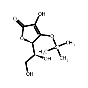 C[Si](C)(C)OC1=C(O)C(=O)O[C@@H]1[C@@H](O)CO